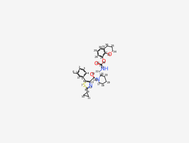 Cc1cccc(-c2sc(C3CC3)nc2C(=O)N2CCCC[C@H]2CNC(=O)Oc2cccc3c2OCCC3)c1